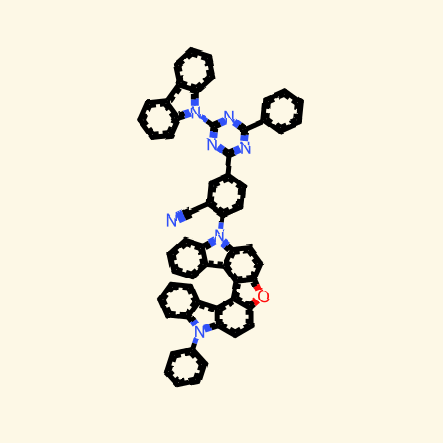 N#Cc1cc(-c2nc(-c3ccccc3)nc(-n3c4ccccc4c4ccccc43)n2)ccc1-n1c2ccccc2c2c3c(ccc21)oc1ccc2c(c4ccccc4n2-c2ccccc2)c13